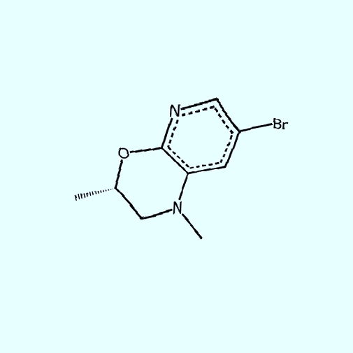 C[C@H]1CN(C)c2cc(Br)cnc2O1